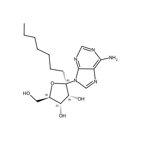 CCCCCCC[C@@]1(n2cnc3c(N)ncnc32)O[C@H](CO)[C@@H](O)[C@H]1O